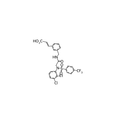 CCc1c(Cl)cccc1N(CC(=O)NCc1cccc(/C=C/C(=O)O)c1)S(=O)(=O)c1ccc(C(F)(F)F)cc1